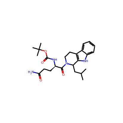 CC(C)CC1c2[nH]c3ccccc3c2CCN1C(=O)[C@@H](CCC(N)=O)NC(=O)OC(C)(C)C